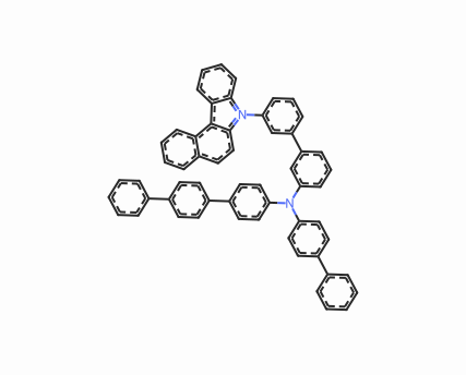 c1ccc(-c2ccc(-c3ccc(N(c4ccc(-c5ccccc5)cc4)c4cccc(-c5cccc(-n6c7ccccc7c7c8ccccc8ccc76)c5)c4)cc3)cc2)cc1